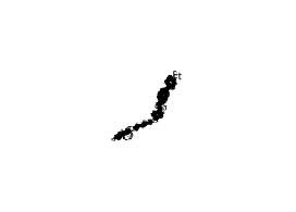 C=CC(=O)OCCCCCCOc1ccc(C(=O)Oc2ccc(C3CCC(CC)CC3)cc2)cc1